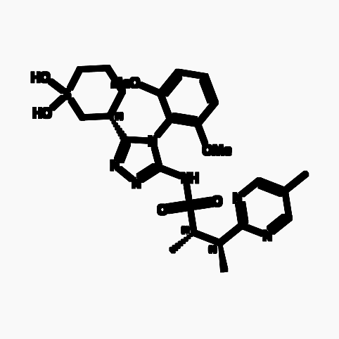 COc1cccc(OC)c1-n1c(NS(=O)(=O)[C@@H](C)[C@H](C)c2ncc(C)cn2)nnc1[C@H]1CCCS(O)(O)C1